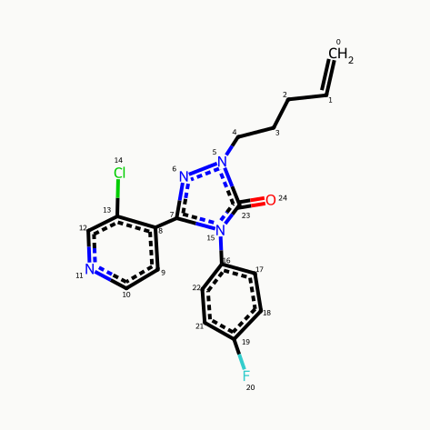 C=CCCCn1nc(-c2ccncc2Cl)n(-c2ccc(F)cc2)c1=O